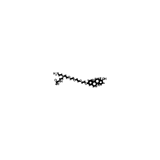 CC(C)C(=O)NCCN(CCN)CCOCCOCCOCCOc1ccc2c(c1)CCC1[C@@H]2CCC2(C)C(O)CC[C@@H]12